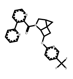 O=C(c1ncccc1-c1ccccn1)N1CC2CC23CC(Oc2ccc(C(F)(F)F)cn2)C13